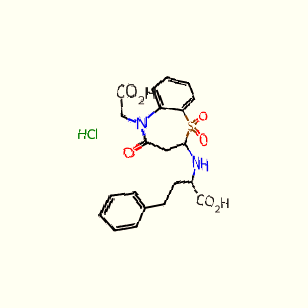 Cl.O=C(O)CN1C(=O)CC(NC(CCc2ccccc2)C(=O)O)S(=O)(=O)c2ccccc21